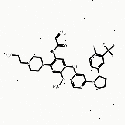 C=CC(=O)Nc1cc(Nc2cc(N3OCC[C@@H]3c3ccc(F)c(C(F)(F)F)c3)ncn2)c(OC)cc1N1CCN(CCC)CC1